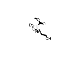 CCOCC.COC(=O)O.OCCO